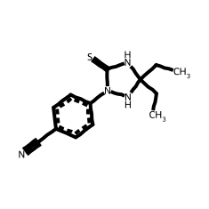 CCC1(CC)NC(=S)N(c2ccc(C#N)cc2)N1